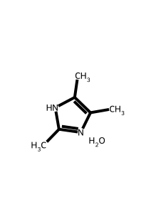 Cc1nc(C)c(C)[nH]1.O